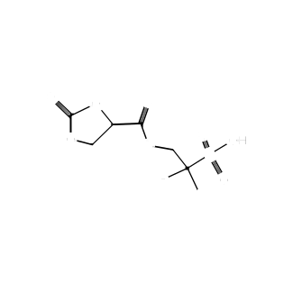 O=C1OCC(C(=O)OCC(F)(F)S(=O)(=O)O)O1